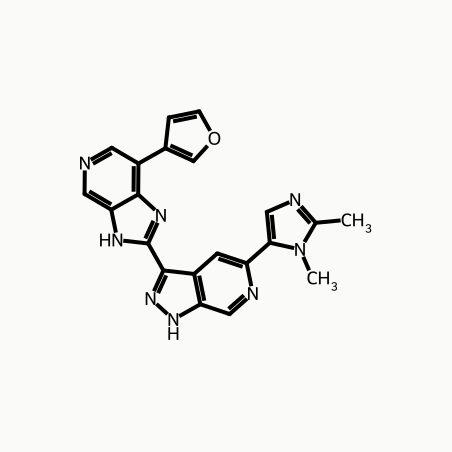 Cc1ncc(-c2cc3c(-c4nc5c(-c6ccoc6)cncc5[nH]4)n[nH]c3cn2)n1C